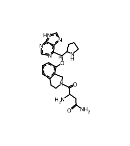 NC(=O)CC(N)C(=O)N1CCc2cccc(O[C@@H](c3ncnc4[nH]cnc34)C3CCCN3)c2C1